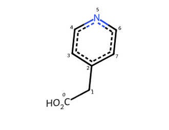 O=C(O)[CH]c1ccncc1